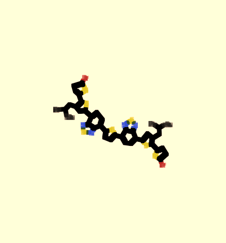 CCCCC(CC)Cc1cc(-c2ccc(-c3ccc(-c4ccc(-c5cc(CC(CC)CCCC)c(-c6ccc(Br)s6)s5)c5nsnc45)s3)c3nsnc23)sc1-c1ccc(Br)s1